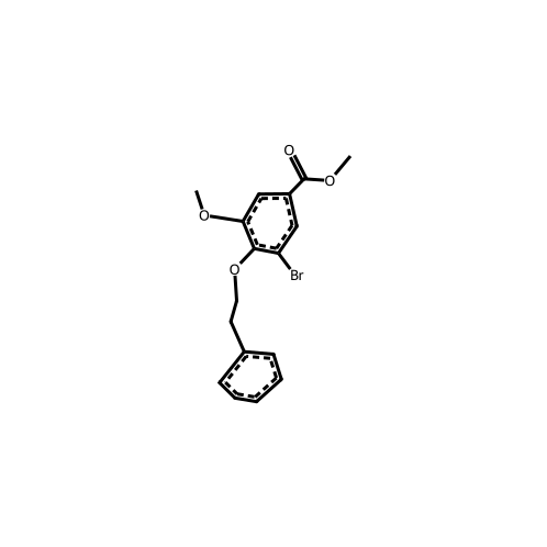 COC(=O)c1cc(Br)c(OCCc2ccccc2)c(OC)c1